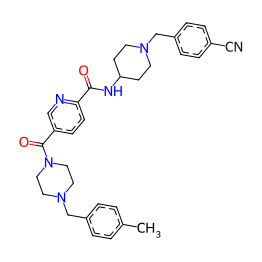 Cc1ccc(CN2CCN(C(=O)c3ccc(C(=O)NC4CCN(Cc5ccc(C#N)cc5)CC4)nc3)CC2)cc1